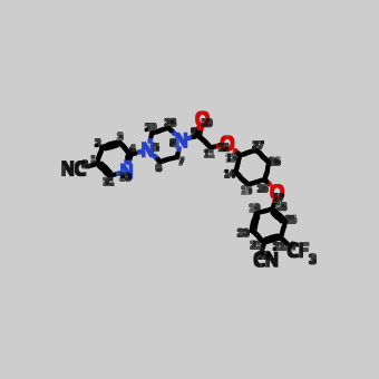 N#Cc1ccc(N2CCN(C(=O)COC3CCC(Oc4ccc(C#N)c(C(F)(F)F)c4)CC3)CC2)nc1